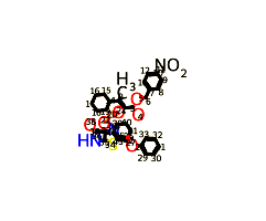 CC(=CC(=O)OCc1ccc([N+](=O)[O-])cc1)C1CCCCC1P(=O)(OC12N=C(COc3ccccc3)SC1NC2=O)C1CCCCC1